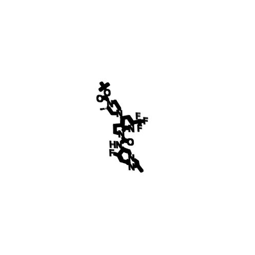 Cc1cn2cc(NC(=O)N3CCc4c(N5CCN(C(=O)OC(C)(C)C)[C@@H](C)C5)cc(C(F)(F)F)nc43)c(F)cc2n1